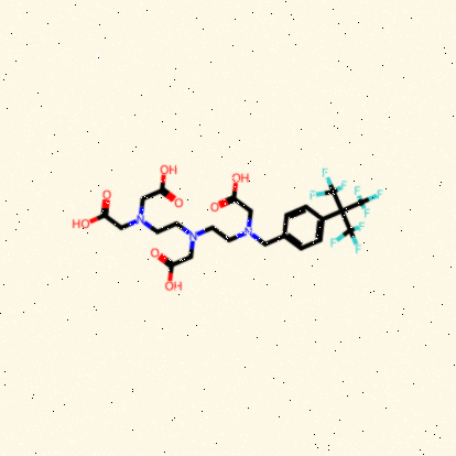 O=C(O)CN(CCN(CC(=O)O)CC(=O)O)CCN(CC(=O)O)Cc1ccc(C(C(F)(F)F)(C(F)(F)F)C(F)(F)F)cc1